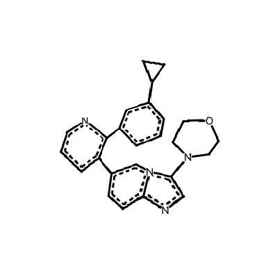 c1cc(-c2ncccc2-c2ccc3ncc(N4CCOCC4)n3c2)cc(C2CC2)c1